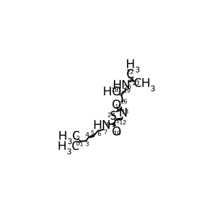 CC(C)C/C=C/CCNC(=O)c1cnc(OCC(O)CNC(C)C)s1